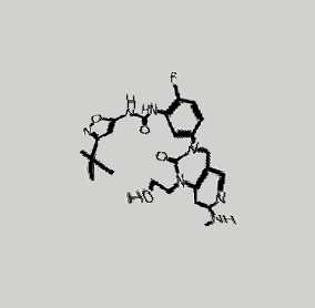 CNc1cc2c(cn1)CN(c1ccc(F)c(NC(=O)Nc3cc(C(C)(C)C)no3)c1)C(=O)N2CCO